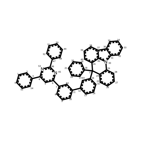 c1ccc(-c2cc(-c3cccc(-c4cccc(C5(c6ccccc6)c6ccccc6-n6c7ccccc7c7cccc5c76)c4)c3)nc(-c3ccccc3)n2)cc1